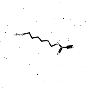 C#CC(=O)OCCCCCCCCCCCCC